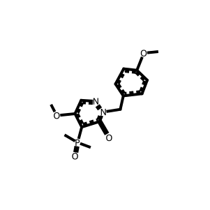 COc1ccc(Cn2ncc(OC)c(P(C)(C)=O)c2=O)cc1